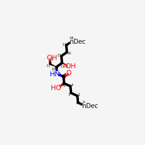 CCCCCCCCCCCCCCC(O)C(=O)N[C@@H](CO)[C@H](O)CCCCCCCCCCCCC